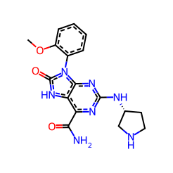 COc1ccccc1-n1c(=O)[nH]c2c(C(N)=O)nc(N[C@@H]3CCNC3)nc21